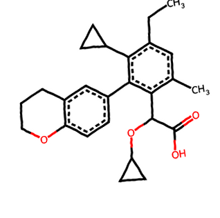 CCc1cc(C)c(C(OC2CC2)C(=O)O)c(-c2ccc3c(c2)CCCO3)c1C1CC1